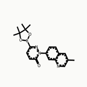 Cc1cnc2cc(-n3nc(B4OC(C)(C)C(C)(C)O4)ccc3=O)ccc2c1